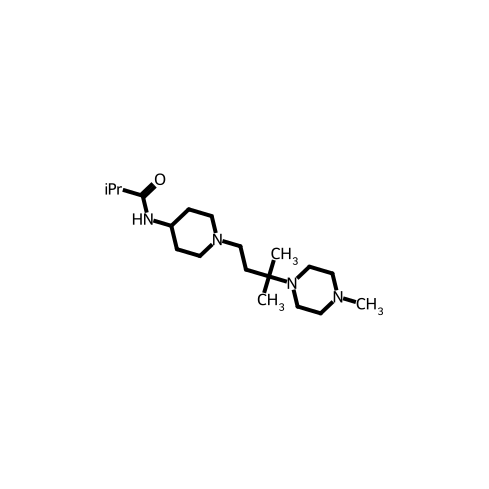 CC(C)C(=O)NC1CCN(CCC(C)(C)N2CCN(C)CC2)CC1